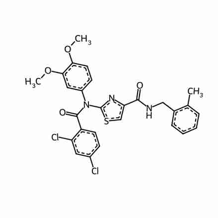 COc1ccc(N(C(=O)c2ccc(Cl)cc2Cl)c2nc(C(=O)NCc3ccccc3C)cs2)cc1OC